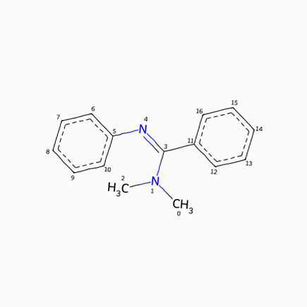 CN(C)C(=Nc1ccccc1)c1ccccc1